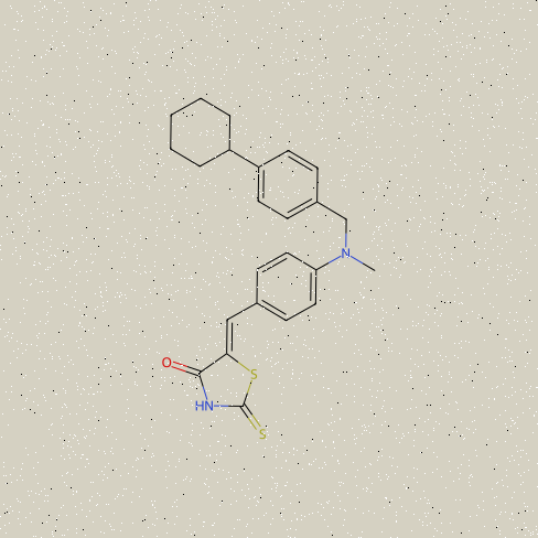 CN(Cc1ccc(C2CCCCC2)cc1)c1ccc(/C=C2\SC(=S)NC2=O)cc1